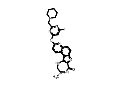 C[C@@H]1CNc2c(sc3ccc4nc(Oc5cc(F)nc(CN6CCCCC6)n5)ccc4c23)C(=O)N1